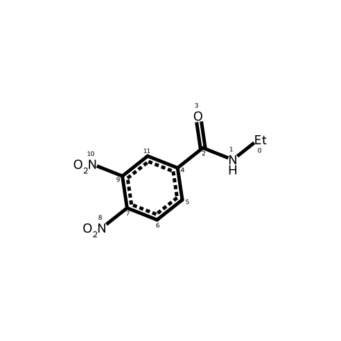 [CH2]CNC(=O)c1ccc([N+](=O)[O-])c([N+](=O)[O-])c1